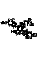 CCCCC(CC)Cc1cc(-c2c3c(c(-c4cc(CC(CC)CCCC)c(C)s4)c4nn(CC(CC)CCCC)nc24)NSN3)sc1C